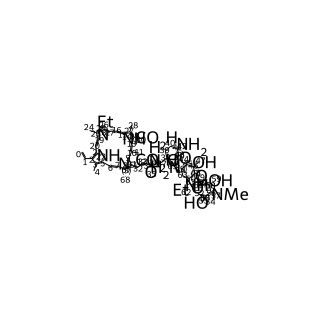 C=Cc1c(C)c2cc3nc(c(CC(=O)O)c4[nH]c(cc5nc(cc1[nH]2)C(C)=C5CC)c(C)c4C(=O)O)[C@@H](CCC(=O)NCC1CCC(N)[C@@H](OC2C(O)[C@@H](O[C@H]4OC[C@](C)(O)C(NC)[C@H]4O)C(NCC)C[C@@H]2N)O1)[C@@H]3C